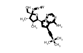 C[C@H]1[C@H](c2cc(C#C[Si](C)(C)C)c3c(N)ncnn23)O[C@@](CO)(N=[N+]=[N-])[C@H]1C